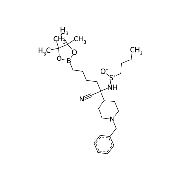 CCCC[S+]([O-])NC(C#N)(CCCCB1OC(C)(C)C(C)(C)O1)C1CCN(Cc2ccccc2)CC1